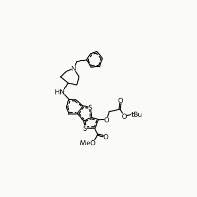 COC(=O)c1sc2c(sc3cc(NC4CCN(Cc5ccccc5)CC4)ccc32)c1OCC(=O)OC(C)(C)C